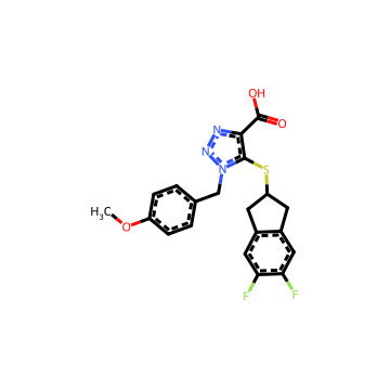 COc1ccc(Cn2nnc(C(=O)O)c2SC2Cc3cc(F)c(F)cc3C2)cc1